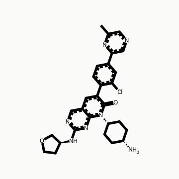 Cc1cncc(-c2ccc(-c3cc4cnc(N[C@H]5CCOC5)nc4n([C@H]4CC[C@@H](N)CC4)c3=O)c(Cl)c2)n1